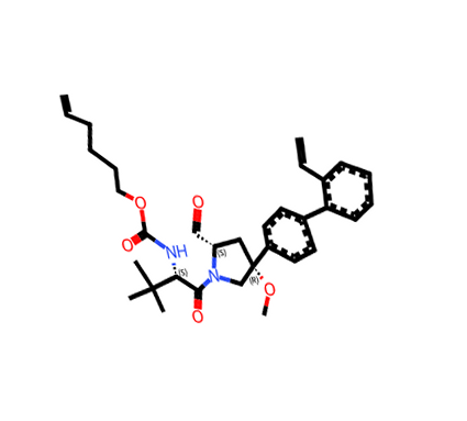 C=CCCCCOC(=O)N[C@H](C(=O)N1C[C@](OC)(c2ccc(-c3ccccc3C=C)cc2)C[C@H]1C=O)C(C)(C)C